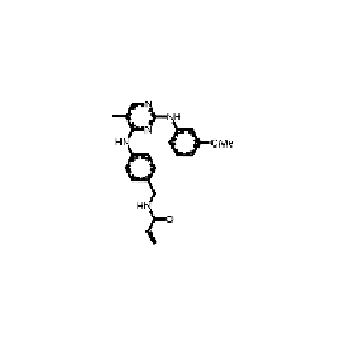 C=CC(=O)NCc1ccc(Nc2nc(Nc3cccc(OC)c3)ncc2C)cc1